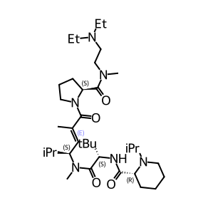 CCN(CC)CCN(C)C(=O)[C@@H]1CCCN1C(=O)/C(C)=C/[C@H](C(C)C)N(C)C(=O)[C@@H](NC(=O)[C@H]1CCCCN1C(C)C)C(C)(C)C